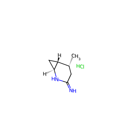 C[C@@H]1CC(=N)N[C@H]2C[C@H]12.Cl